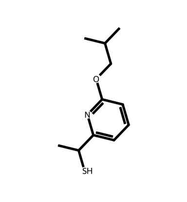 CC(C)COc1cccc(C(C)S)n1